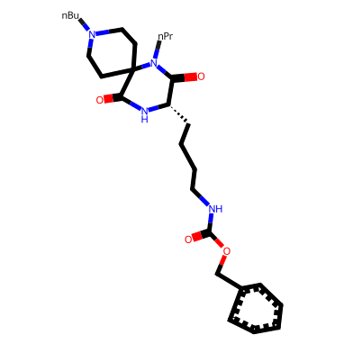 CCCCN1CCC2(CC1)C(=O)N[C@@H](CCCCNC(=O)OCc1ccccc1)C(=O)N2CCC